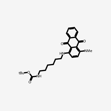 CNc1ccc(NCCCCCCNC(=O)OC(C)(C)C)c2c1C(=O)c1ccccc1C2=O